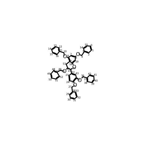 c1ccc(COc2cc(OCc3ccccc3)c3c(c2)OC(c2ccc(OCc4ccccc4)c(OCc4ccccc4)c2)C(OCc2ccccc2)C3)cc1